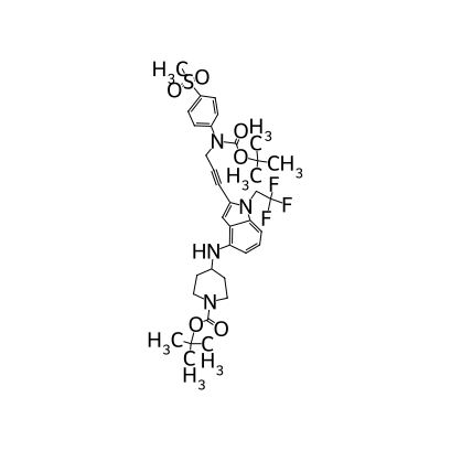 CC(C)(C)OC(=O)N1CCC(Nc2cccc3c2cc(C#CCN(C(=O)OC(C)(C)C)c2ccc(S(C)(=O)=O)cc2)n3CC(F)(F)F)CC1